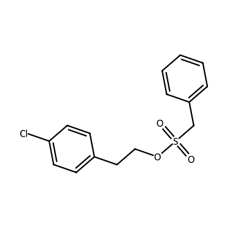 O=S(=O)(Cc1ccccc1)OCCc1ccc(Cl)cc1